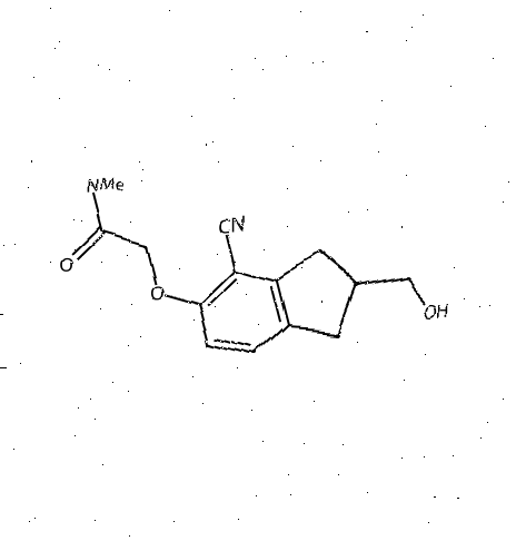 CNC(=O)COc1ccc2c(c1C#N)CC(CO)C2